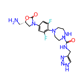 NC[C@H]1CN(c2cc(F)c(N3CCNN(C(=O)NCc4c[nH]nn4)CC3)c(F)c2)C(=O)O1